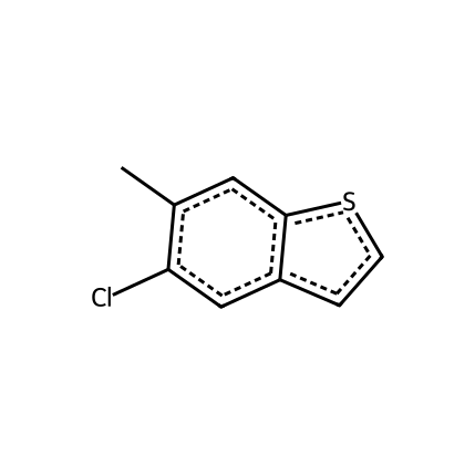 Cc1cc2sccc2cc1Cl